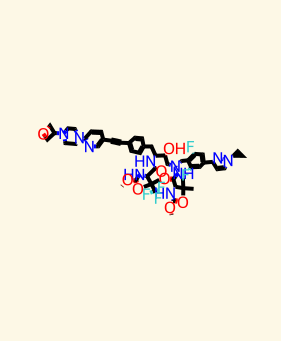 COC(=O)NC(C(=O)NN(Cc1c(F)cc(-c2ccn(C3CC3)n2)cc1F)CC(O)C(Cc1ccc(C#Cc2ccc(N3CCN(C4COC4)CC3)nc2)cc1)NC(=O)C(NC(=O)OC)C(C)(C)C(F)(F)F)C(C)(C)C